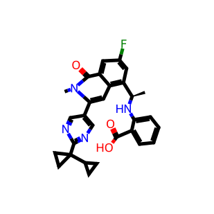 C[C@@H](Nc1ccccc1C(=O)O)c1cc(F)cc2c(=O)n(C)c(-c3cnc(C4(C5CC5)CC4)nc3)cc12